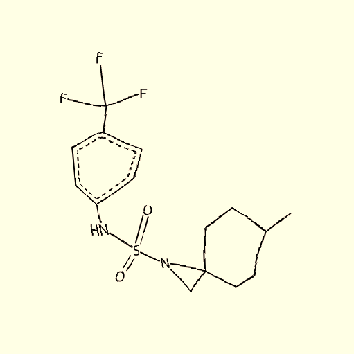 CC1CCC2(CC1)CN2S(=O)(=O)Nc1ccc(C(F)(F)F)cc1